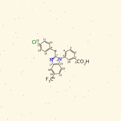 O=C(O)c1cccc(-n2c(Cc3ccc(Cl)cc3)nc3cc(C(F)(F)F)ccc32)c1